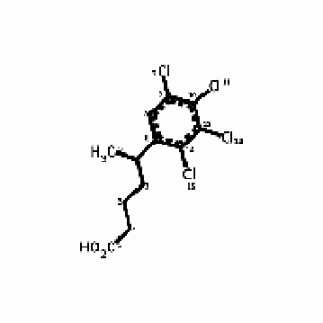 CC(CCCC(=O)O)c1cc(Cl)c(Cl)c(Cl)c1Cl